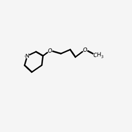 COCCCOC1CCC[N]C1